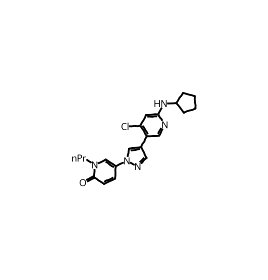 CCCn1cc(-n2cc(-c3cnc(NC4CCCC4)cc3Cl)cn2)ccc1=O